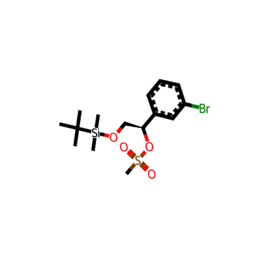 CC(C)(C)[Si](C)(C)OC[C@H](OS(C)(=O)=O)c1cccc(Br)c1